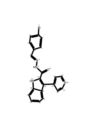 O=C(NN=Cc1ccc(Br)cc1)c1[nH]c2ccccc2c1-c1ccncc1